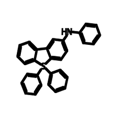 c1ccc(Nc2ccc3c(c2)-c2ccccc2S3(c2ccccc2)c2ccccc2)cc1